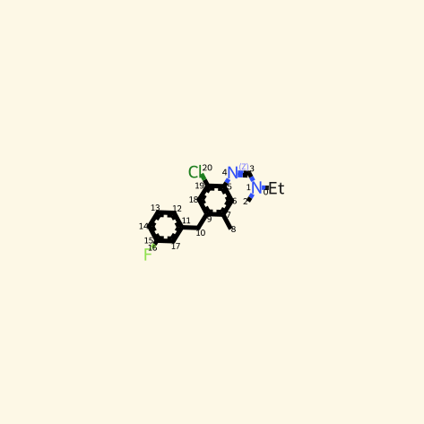 CCN(C)/C=N\c1cc(C)c(Cc2cccc(F)c2)cc1Cl